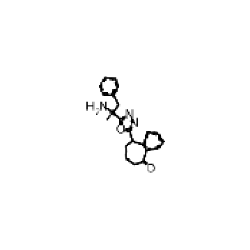 C[C@@](N)(Cc1ccccc1)c1nnc(C2CCCC(=O)c3ccccc32)o1